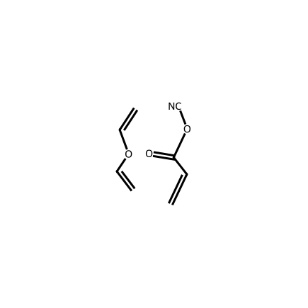 C=CC(=O)OC#N.C=COC=C